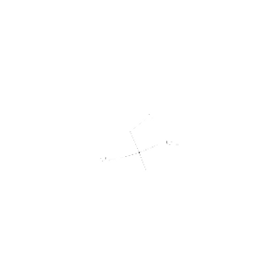 COC(C)(CC(C)=O)OC